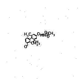 Cc1cc(OCCNS(C)(=O)=O)cc(C)c1-c1cccc(C=O)c1C